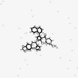 Cc1c(C(=O)N2CCN(C)CC2)c(-c2cccc3ccccc23)cn1C(Cc1ccc2c(c1)OCO2)c1cnc[nH]1